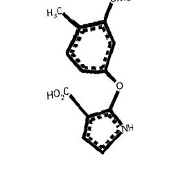 COc1cc(Oc2[nH]ccc2C(=O)O)ccc1C